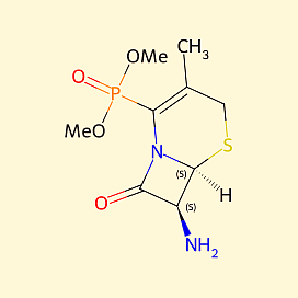 COP(=O)(OC)C1=C(C)CS[C@H]2[C@@H](N)C(=O)N12